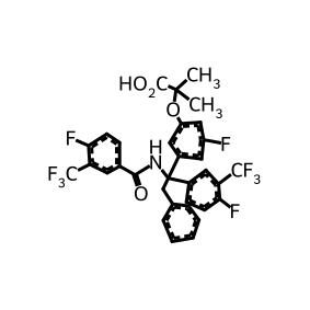 CC(C)(Oc1cc(F)cc(C(Cc2ccccc2)(NC(=O)c2ccc(F)c(C(F)(F)F)c2)c2ccc(F)c(C(F)(F)F)c2)c1)C(=O)O